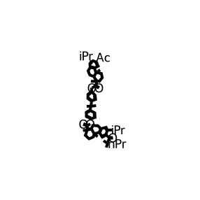 CCCC(C)(C)C(=O)c1cc2c(cc1C(C)C)CCC1C(C)(C(=O)Oc3ccc(C(C)(C)c4ccc(OC(=O)C5(C)CCCC6(C)c7cc(C(C)=O)c(C(C)C)cc7CCC56)cc4)cc3)CCCC21C